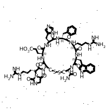 N=C(N)NCCC[C@@H]1NC(=O)[C@@H](Cc2ccccc2)NC(=O)[C@H](Cc2cnc[nH]2)NC(=O)[C@H](CCC(=O)O)NC(=O)[C@@H](NC(=O)[C@@H](CCCNC(=N)N)N2C(=O)CNC2=O)CSSC[C@@H](C(N)=O)NC(=O)[C@H](Cc2c[nH]c3ccccc23)NC1=O